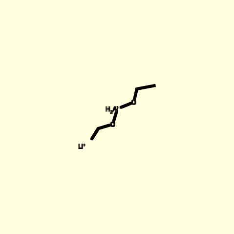 CC[O][AlH2-][O]CC.[Li+]